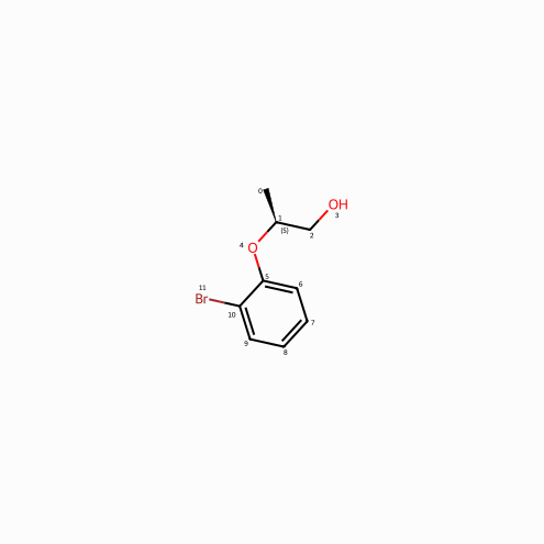 C[C@@H](CO)Oc1ccccc1Br